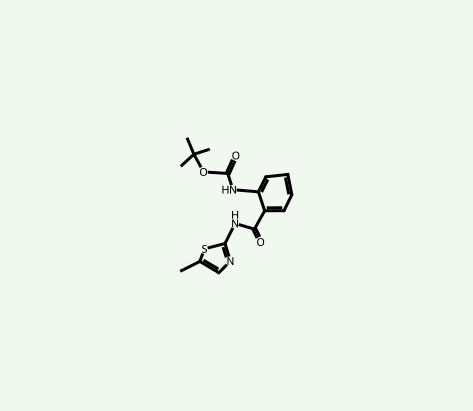 Cc1cnc(NC(=O)c2ccccc2NC(=O)OC(C)(C)C)s1